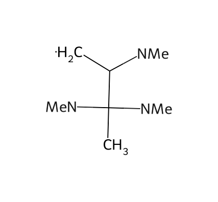 [CH2]C(NC)C(C)(NC)NC